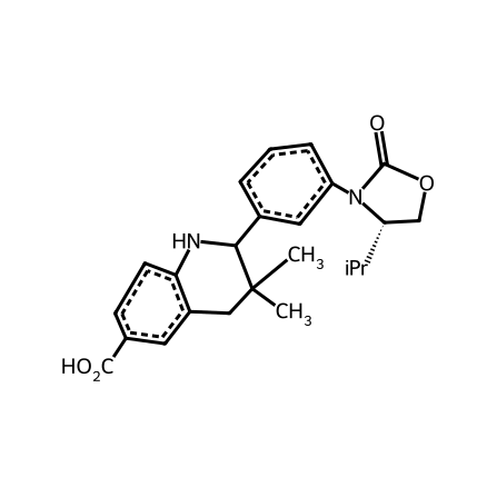 CC(C)[C@H]1COC(=O)N1c1cccc(C2Nc3ccc(C(=O)O)cc3CC2(C)C)c1